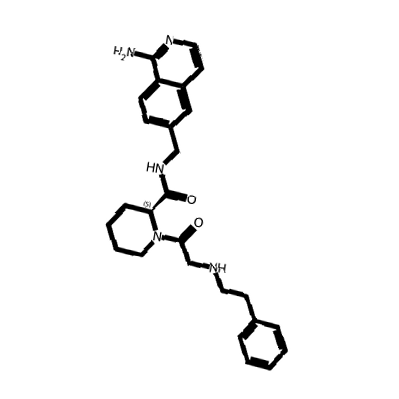 Nc1nccc2cc(CNC(=O)[C@@H]3CCCCN3C(=O)CNCCc3ccccc3)ccc12